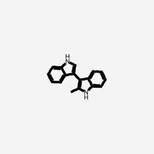 Cc1[nH]c2ccccc2c1-c1c[nH]c2ccccc12